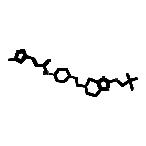 Cn1cc(/C=C/C(=O)N[C@H]2CC[C@H](CCN3CCc4sc(OCC(C)(F)F)nc4C3)CC2)cn1